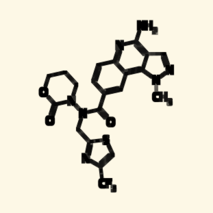 Cn1ncc2c(N)nc3ccc(C(=O)N(Cc4nc(C(F)(F)F)cs4)N4CCCOC4=O)cc3c21